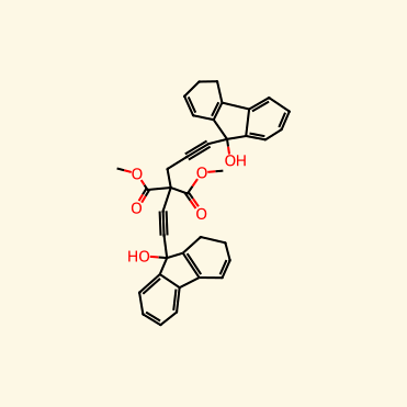 COC(=O)C(C#CC1(O)C2=C(C=CCC2)c2ccccc21)(CC#CC1(O)C2=C(CCC=C2)c2ccccc21)C(=O)OC